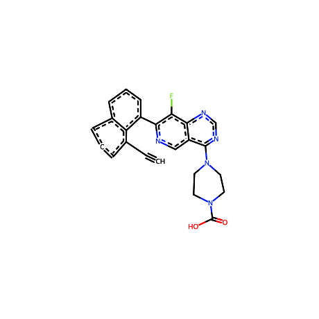 C#Cc1cccc2cccc(-c3ncc4c(N5CCN(C(=O)O)CC5)ncnc4c3F)c12